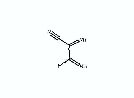 N#CC(=N)C(=N)F